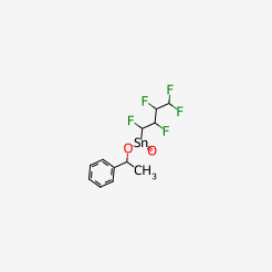 CC([O][Sn](=[O])[CH](F)C(F)C(F)C(F)F)c1ccccc1